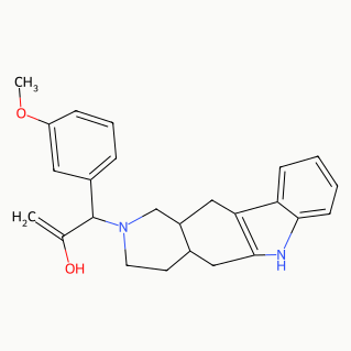 C=C(O)C(c1cccc(OC)c1)N1CCC2Cc3[nH]c4ccccc4c3CC2C1